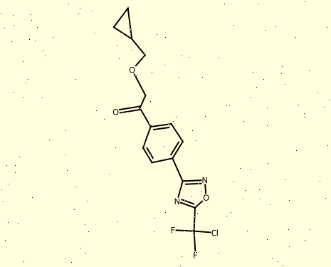 O=C(COCC1CC1)c1ccc(-c2noc(C(F)(F)Cl)n2)cc1